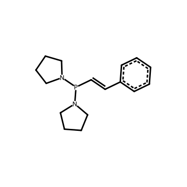 C(=CP(N1CCCC1)N1CCCC1)c1ccccc1